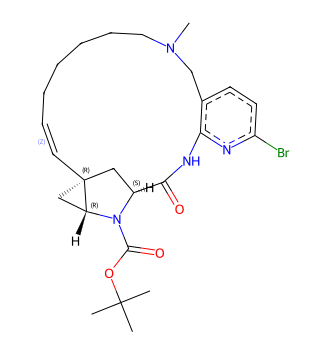 CN1CCCCC/C=C\[C@@]23C[C@@H](C(=O)Nc4nc(Br)ccc4C1)N(C(=O)OC(C)(C)C)[C@@H]2C3